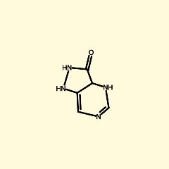 O=C1NNC2=CN=CNC12